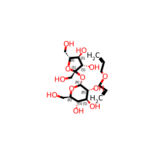 C=CCOCC=C.OC[C@H]1O[C@@](CO)(O[C@H]2O[C@H](CO)[C@@H](O)[C@H](O)[C@H]2O)[C@@H](O)[C@@H]1O